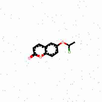 CC(Cl)Oc1ccc2oc(=O)ccc2c1